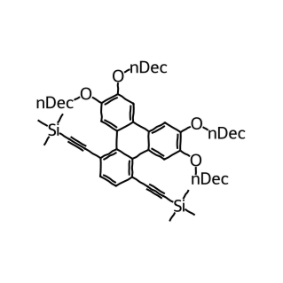 CCCCCCCCCCOc1cc2c3cc(OCCCCCCCCCC)c(OCCCCCCCCCC)cc3c3c(C#C[Si](C)(C)C)ccc(C#C[Si](C)(C)C)c3c2cc1OCCCCCCCCCC